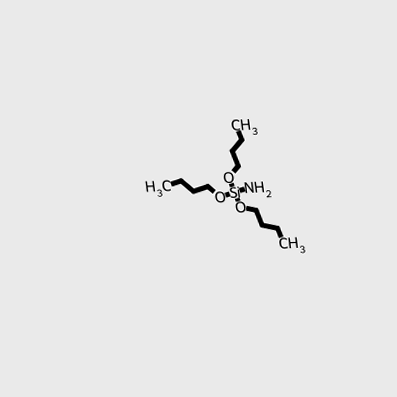 CCCCO[Si](N)(OCCCC)OCCCC